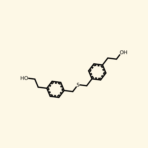 OCCc1ccc(CSCc2ccc(CCO)cc2)cc1